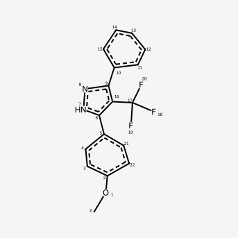 COc1ccc(-c2[nH]nc(-c3ccccc3)c2C(F)(F)F)cc1